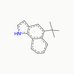 CC(C)(C)c1cc2cc[nH]c2c2ccccc12